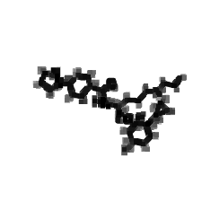 C=CCN(CCC[C@H](NC(=O)c1ccc(-n2cccn2)cc1)C(=O)O)[C@@H]1C[C@H]1c1ccc(F)cc1